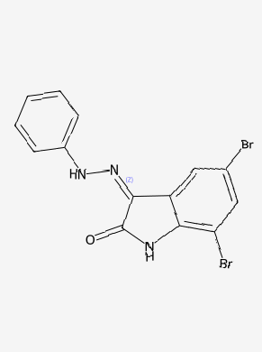 O=C1Nc2c(Br)cc(Br)cc2/C1=N/Nc1ccccc1